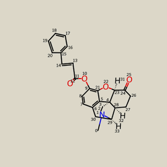 CN1CC[C@]23c4c5ccc(OC(=O)/C=C/c6ccccc6)c4O[C@H]2C(=O)CC[C@H]3[C@H]1C5